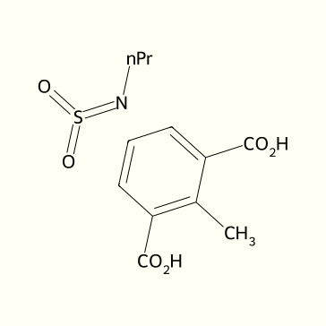 CCCN=S(=O)=O.Cc1c(C(=O)O)cccc1C(=O)O